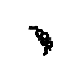 C/C=C/[C@@]1(C)CC[C@H]2[C@@H]3CCc4cc(OC)ccc4[C@H]3CC[C@@]21C